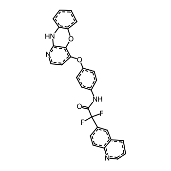 O=C(Nc1ccc(Oc2ccnc3c2Oc2ccccc2N3)cc1)C(F)(F)c1ccc2ncccc2c1